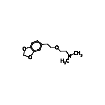 CN(C)CCOCCc1ccc2c(c1)OCO2